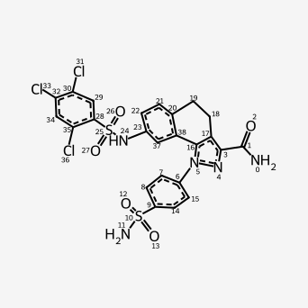 NC(=O)c1nn(-c2ccc(S(N)(=O)=O)cc2)c2c1CCc1ccc(NS(=O)(=O)c3cc(Cl)c(Cl)cc3Cl)cc1-2